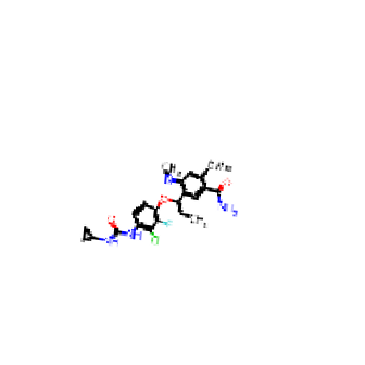 C=Nc1cc(OC)c(C(N)=O)cc1/C(=C\C)Oc1ccc(NC(=O)NC2CC2)c(Cl)c1F